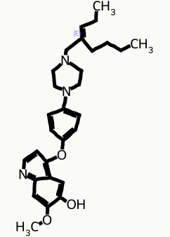 CC/C=C(\CCCC)CN1CCN(c2ccc(Oc3ccnc4cc(OC)c(O)cc34)cc2)CC1